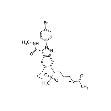 CNC(=O)c1c2cc(C3CC3)c(N(CCCNC(C)=O)S(C)(=O)=O)cc2nn1-c1ccc(Br)cc1